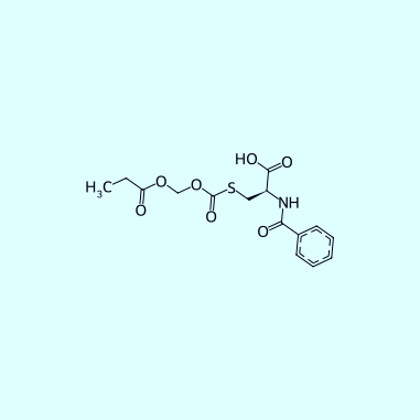 CCC(=O)OCOC(=O)SC[C@H](NC(=O)c1ccccc1)C(=O)O